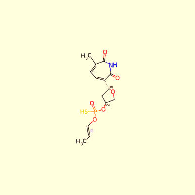 C/C=C/OP(=O)(S)O[C@@H]1CO[C@@H](c2ccc(C)c(=O)[nH]c2=O)C1